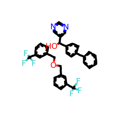 FC(F)(F)c1cccc(COCc2cccc(C(F)(F)F)c2)c1.OC(c1ccc(-c2ccccc2)cc1)c1cncnc1